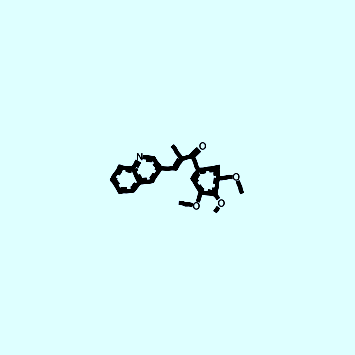 COc1cc(C(=O)/C(C)=C/c2cnc3ccccc3c2)cc(OC)c1OC